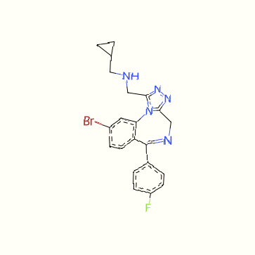 Fc1ccc(C2=NCc3nnc(CNCC4CC4)n3-c3cc(Br)ccc32)cc1